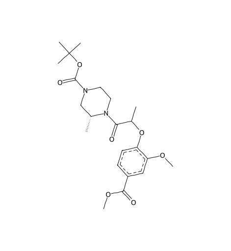 COC(=O)c1ccc(OC(C)C(=O)N2CCN(C(=O)OC(C)(C)C)C[C@H]2C)c(OC)c1